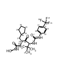 CC(C)(C)[C@H](NC(=O)Nc1ccc(C(F)(F)F)cc1)C(=O)N(CC(=O)NO)CC1CCCC1